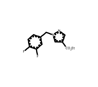 CCOC(=O)c1cnn(Cc2ccc(F)c(F)c2)c1